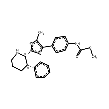 COC(=O)Nc1ccc(-c2nc([C@H]3NCCC[C@H]3c3ccccc3)[nH]c2C)cc1